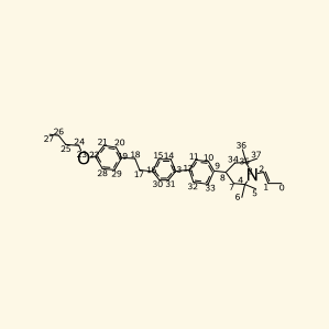 C/C=C/N1C(C)(C)CC(c2ccc(-c3ccc(CCc4ccc(OCCCC)cc4)cc3)cc2)CC1(C)C